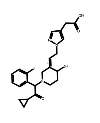 O=C(O)Cc1cnn(C/C=C2/CN(C(C(=O)C3CC3)c3ccccc3F)CCC2S)c1